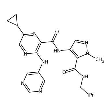 CC(C)CNC(=O)c1c(NC(=O)c2nc(C3CC3)cnc2Nc2cncnc2)cnn1C